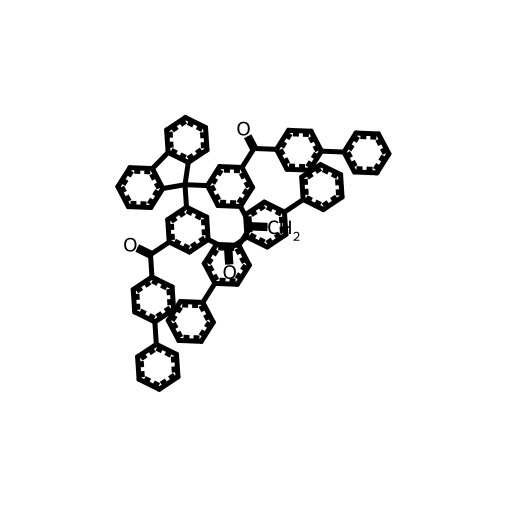 C=C(c1ccc(-c2ccccc2)cc1)c1cc(C(=O)c2ccc(-c3ccccc3)cc2)cc(C2(c3cc(C(=O)c4ccc(-c5ccccc5)cc4)cc(C(=O)c4ccc(-c5ccccc5)cc4)c3)c3ccccc3-c3ccccc32)c1